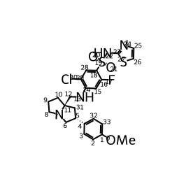 COc1ccc([C@@H]2CN3CCC[C@]3(CNc3cc(F)c(S(=O)(=O)Nc4nccs4)cc3Cl)C2)cc1